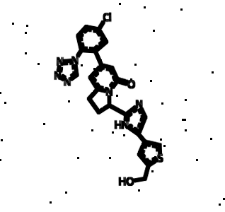 O=c1cc(-c2cc(Cl)ccc2-n2cnnn2)cc2n1C(c1ncc(-c3csc(CO)c3)[nH]1)CC2